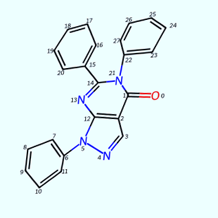 O=c1c2cnn(-c3ccccc3)c2nc(-c2ccccc2)n1-c1ccccc1